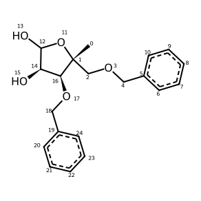 C[C@]1(COCc2ccccc2)OC(O)[C@H](O)[C@@H]1OCc1ccccc1